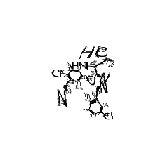 Cc1c(NC(c2nnc(-c3cccc(Cl)c3)o2)C(C)O)ccc(C#N)c1Cl